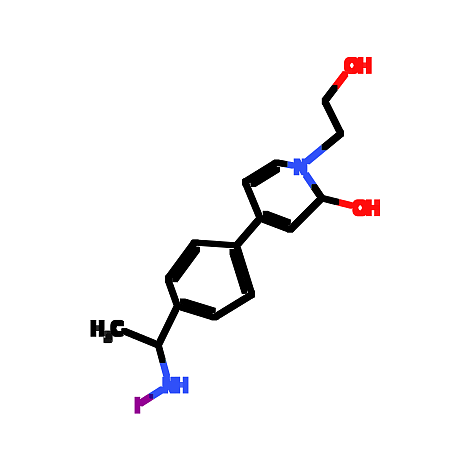 CC(NI)c1ccc(C2=CC(O)N(CCO)C=C2)cc1